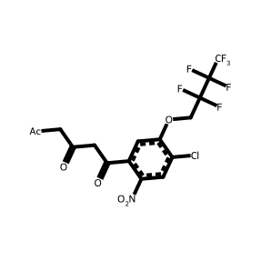 CC(=O)CC(=O)CC(=O)c1cc(OCC(F)(F)C(F)(F)C(F)(F)F)c(Cl)cc1[N+](=O)[O-]